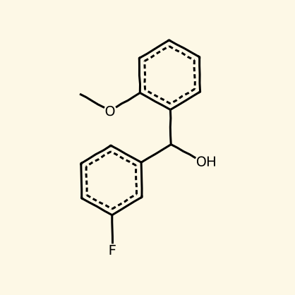 COc1ccccc1C(O)c1cccc(F)c1